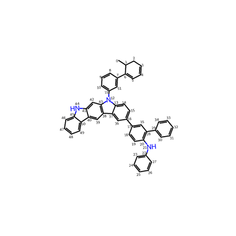 CC1CC=CC=C1c1cccc(-n2c3ccc(-c4ccc(Nc5ccccc5)c(-c5ccccc5)c4)cc3c3cc4c(cc32)[nH]c2ccccc24)c1